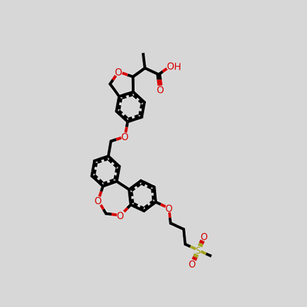 CC(C(=O)O)C1OCc2cc(OCc3ccc4c(c3)-c3ccc(OCCCS(C)(=O)=O)cc3OCO4)ccc21